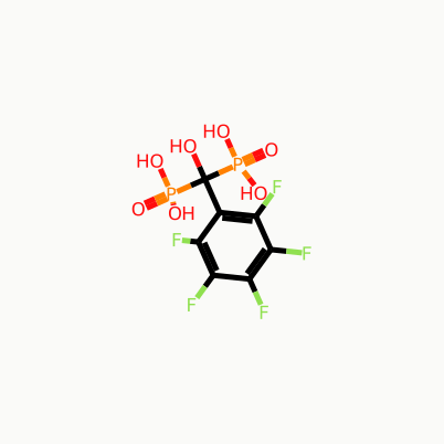 O=P(O)(O)C(O)(c1c(F)c(F)c(F)c(F)c1F)P(=O)(O)O